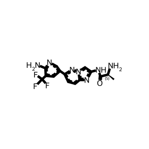 C[C@H](N)C(=O)Nc1cn2nc(-c3cnc(N)c(C(F)(F)F)c3)ccc2n1